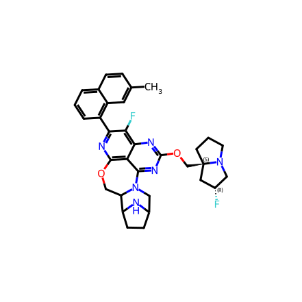 Cc1ccc2cccc(-c3nc4c5c(nc(OC[C@@]67CCCN6C[C@H](F)C7)nc5c3F)N3CC5CCC(N5)C3CO4)c2c1